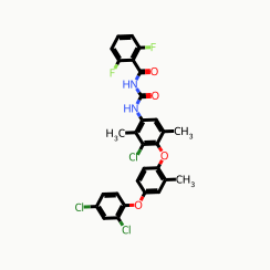 Cc1cc(Oc2ccc(Cl)cc2Cl)ccc1Oc1c(C)cc(NC(=O)NC(=O)c2c(F)cccc2F)c(C)c1Cl